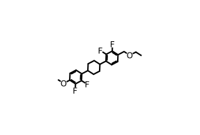 CCOCc1ccc(C2CCC(c3ccc(OC)c(F)c3F)CC2)c(F)c1F